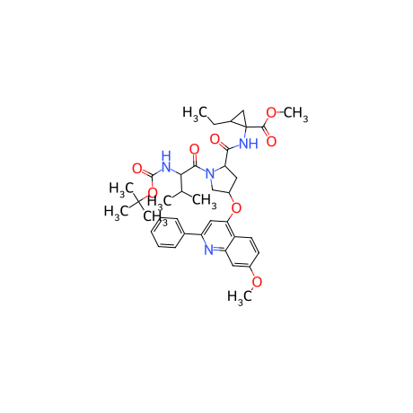 CCC1CC1(NC(=O)C1CC(Oc2cc(-c3ccccc3)nc3cc(OC)ccc23)CN1C(=O)C(NC(=O)OC(C)(C)C)C(C)C)C(=O)OC